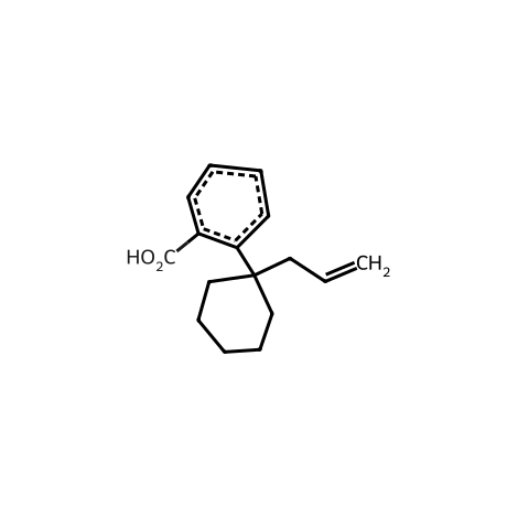 C=CCC1(c2ccccc2C(=O)O)CCCCC1